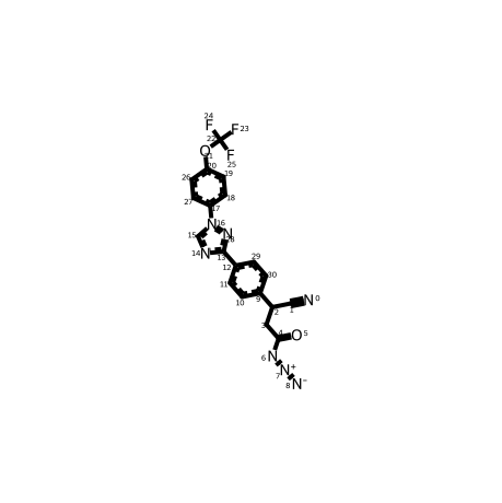 N#CC(CC(=O)N=[N+]=[N-])c1ccc(-c2ncn(-c3ccc(OC(F)(F)F)cc3)n2)cc1